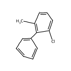 Cc1[c]ccc(Cl)c1-c1ccccc1